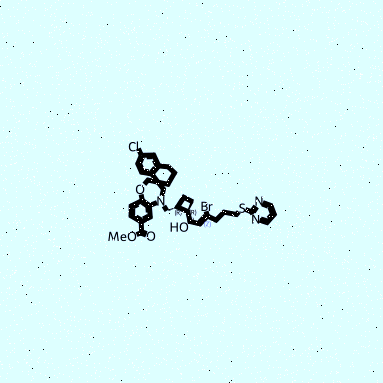 COC(=O)c1ccc2c(c1)N(C[C@@H]1CC[C@H]1[C@@H](O)/C=C(\Br)CCCSc1ncccn1)CC1(CCCc3cc(Cl)ccc31)CO2